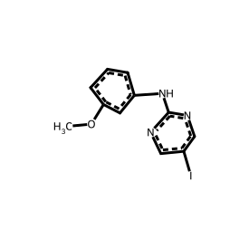 COc1cccc(Nc2ncc(I)cn2)c1